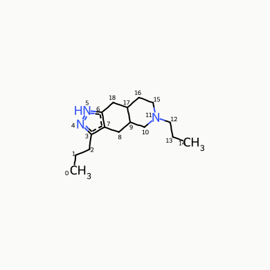 CCCc1n[nH]c2c1CC1CN(CCC)CCC1C2